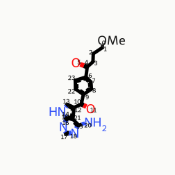 COCCCC(=O)c1ccc(C(=O)c2c[nH]c3ncnc(N)c23)cc1